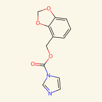 O=C(OCc1cccc2c1OCO2)n1ccnc1